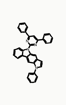 c1ccc(-c2cc(-c3ccccc3)nc(-n3c4ccccc4c4cc5c(ccn5-c5ccccc5)cc43)n2)cc1